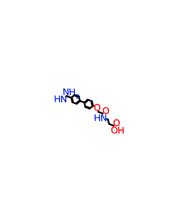 N=C(N)c1ccc(-c2ccc(OCC(=O)NCCC(=O)O)cc2)cc1